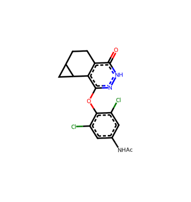 CC(=O)Nc1cc(Cl)c(Oc2n[nH]c(=O)c3c2C2CC2CC3)c(Cl)c1